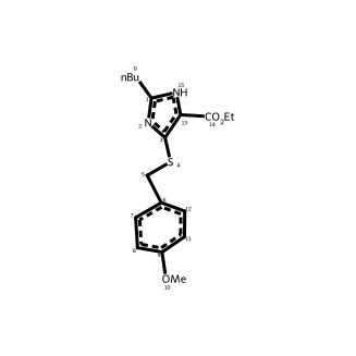 CCCCc1nc(SCc2ccc(OC)cc2)c(C(=O)OCC)[nH]1